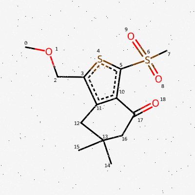 COCc1sc(S(C)(=O)=O)c2c1CC(C)(C)CC2=O